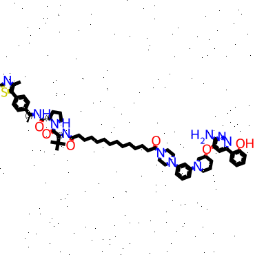 Cc1ncsc1-c1ccc([C@H](C)NC(=O)[C@@H]2CCCN2C(=O)[C@@H](NC(=O)CCCCCCCCCCCCC(=O)N2CCN(c3cccc(N4CCCC(Oc5cc(-c6ccccc6O)nnc5N)C4)c3)CC2)C(C)(C)C)cc1